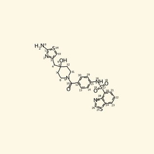 Nc1nc(CC2(O)CCN(C(=O)c3ccc(NS(=O)(=O)c4cccc5scnc45)cc3)CC2)cs1